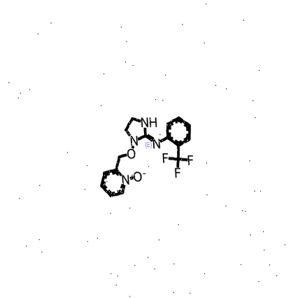 [O-][n+]1ccccc1CON1CCN/C1=N\c1ccccc1C(F)(F)F